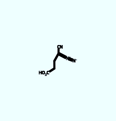 N#CC(CCC(=O)O)=[N+]=[N-]